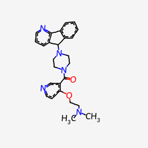 CN(C)CCOc1ccncc1C(=O)N1CCN(C2c3ccccc3-c3ncccc32)CC1